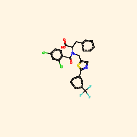 O=C(O)C(Cc1ccccc1)N(Cc1cnc(-c2cccc(C(F)(F)F)c2)s1)C(=O)c1ccc(Cl)cc1Cl